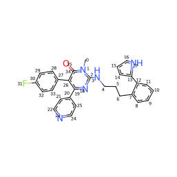 Cn1c(NCCCc2ccccc2-c2ccc[nH]2)nc(-c2ccncc2)c(-c2ccc(F)cc2)c1=O